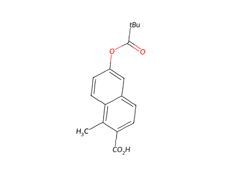 Cc1c(C(=O)O)ccc2cc(OC(=O)C(C)(C)C)ccc12